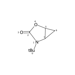 CC(C)(C)N1C(=O)OC2CC21